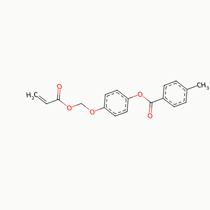 C=CC(=O)OCOc1ccc(OC(=O)c2ccc(C)cc2)cc1